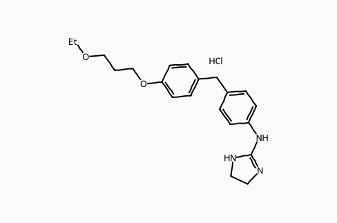 CCOCCCOc1ccc(Cc2ccc(NC3=NCCN3)cc2)cc1.Cl